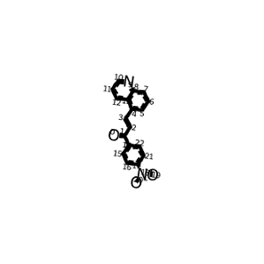 O=C(/C=C/c1cccc2ncccc12)c1ccc([N+](=O)[O-])cc1